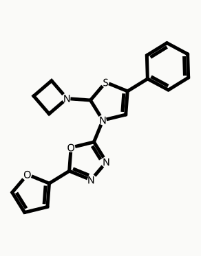 C1=C(c2ccccc2)SC(N2CCC2)N1c1nnc(-c2ccco2)o1